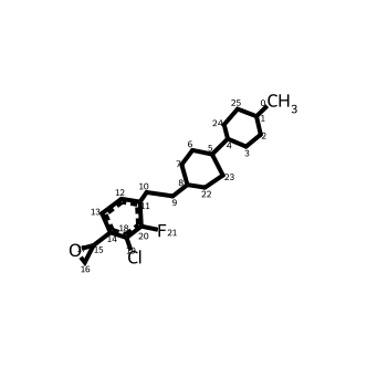 CC1CCC(C2CCC(CCc3ccc(C4CO4)c(Cl)c3F)CC2)CC1